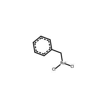 [Cl][Ru+]([Cl])[CH2]c1ccccc1